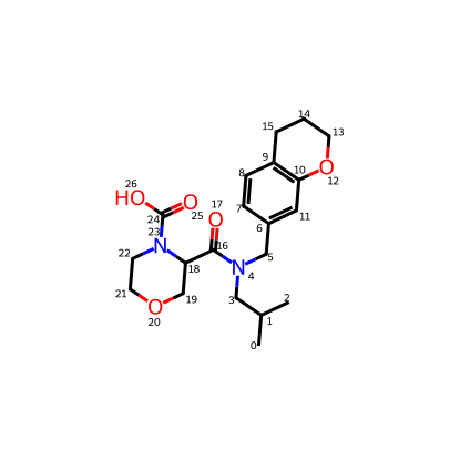 CC(C)CN(Cc1ccc2c(c1)OCCC2)C(=O)C1COCCN1C(=O)O